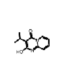 CC(C)c1c(O)nc2ccccn2c1=O